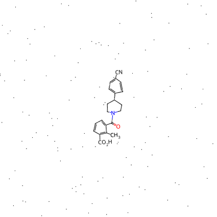 Cc1c(C(=O)O)cccc1C(=O)N1CCC(c2ccc(C#N)cc2)CC1